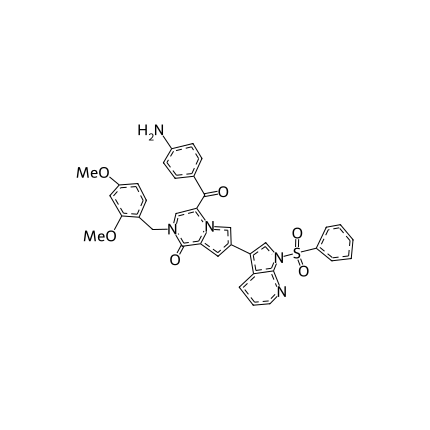 COc1ccc(Cn2cc(C(=O)c3ccc(N)cc3)n3cc(-c4cn(S(=O)(=O)c5ccccc5)c5ncccc45)cc3c2=O)c(OC)c1